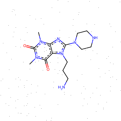 Cn1c(=O)c2c(nc(N3CCNCC3)n2CCCN)n(C)c1=O